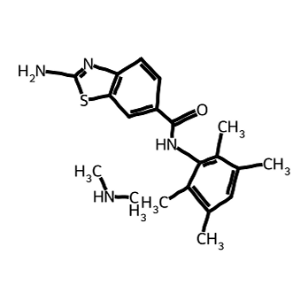 CNC.Cc1cc(C)c(C)c(NC(=O)c2ccc3nc(N)sc3c2)c1C